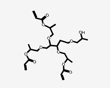 C=CC(=O)OC(C)COCC(OCC(C)OC(=O)C=C)C(CCOCC(C)O)OCC(C)OC(=O)C=C